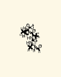 COC(=O)[C@@H]1[C@@H]2[C@H](CN1C(=O)[C@@H](NC(=O)N[C@H](CN(C)C(C)=O)C(C)(C)C)C(C)(C)C)C2(C)C